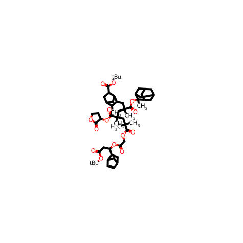 CC1C2CC(C(=O)OC(C)(C)C)C(C2)C1CC(C)(CC(C)(CC(C)(C)C(=O)OCC(=O)OC(CC(=O)OC(C)(C)C)C1CC2C=CC1C2)C(=O)OC1CCOC1=O)C(=O)OC1(C)C2CC3CC(C2)CC1C3